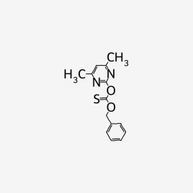 Cc1cc(C)nc(OC(=S)OCc2ccccc2)n1